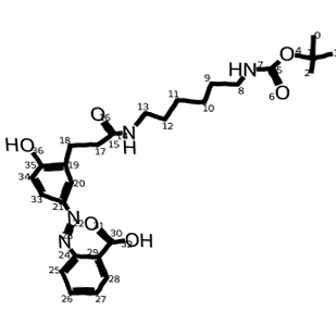 CC(C)(C)OC(=O)NCCCCCCNC(=O)CCc1cc(N=Nc2ccccc2C(=O)O)ccc1O